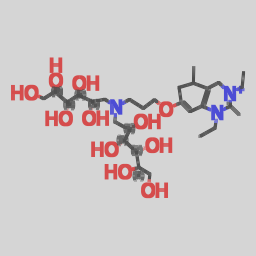 CCN1C2=C(C[N+](CC)=C1C)C(C)CC(OCCCN(C[C@H](O)[C@@H](O)[C@H](O)[C@H](O)CO)C[C@H](O)[C@@H](O)[C@H](O)[C@H](O)CO)=C2